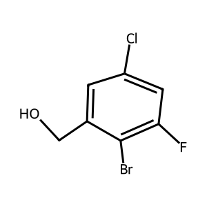 OCc1cc(Cl)cc(F)c1Br